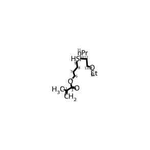 C=C(C)C(=O)OCCCC[SiH](CCC)CCOCC